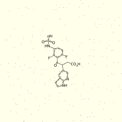 CCCS(=O)(=O)Nc1ccc(F)c(C(=O)C(CC(=O)O)c2cnc3[nH]ccc3c2)c1F